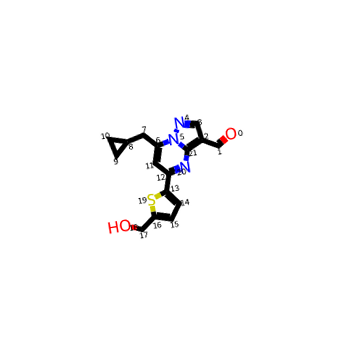 O=Cc1cnn2c(CC3CC3)cc(-c3ccc(CO)s3)nc12